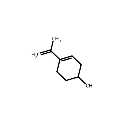 C=C(C)C1=[C]CC(C)CC1